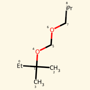 CCC(C)(C)O[CH]OCC(C)C